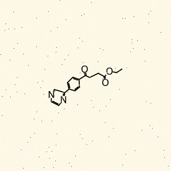 CCOC(=O)CCC(=O)c1ccc(-c2cnccn2)cc1